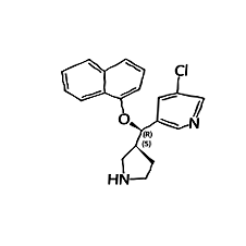 Clc1cncc([C@H](Oc2cccc3ccccc23)[C@H]2CCNC2)c1